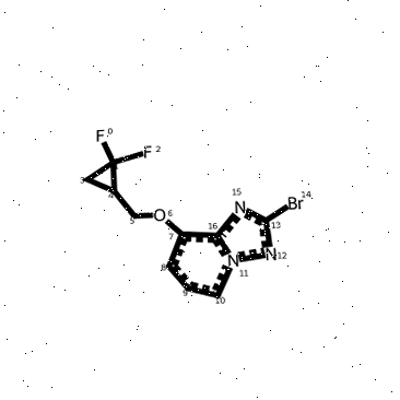 FC1(F)CC1COc1cccn2nc(Br)nc12